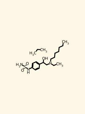 CCC.CCCCCCCN(CC)CC(O)c1ccc(NS(N)(=O)=O)cc1